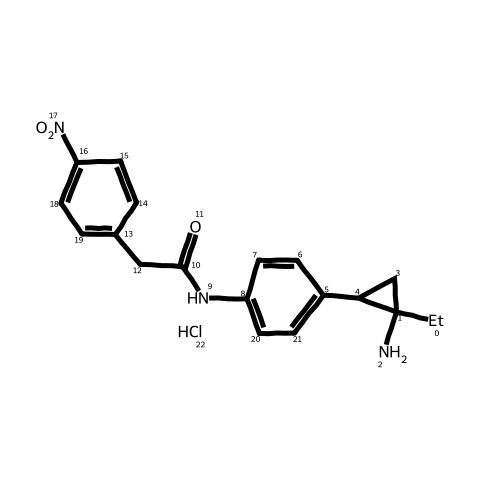 CCC1(N)CC1c1ccc(NC(=O)Cc2ccc([N+](=O)[O-])cc2)cc1.Cl